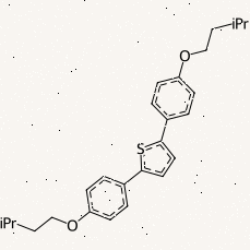 CC(C)CCOc1ccc(-c2ccc(-c3ccc(OCCC(C)C)cc3)s2)cc1